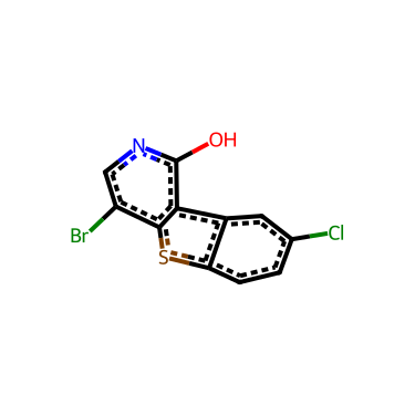 Oc1ncc(Br)c2sc3ccc(Cl)cc3c12